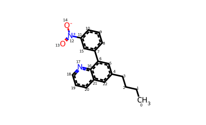 CCCCc1cc(-c2cccc([N+](=O)[O-])c2)c2ncccc2c1